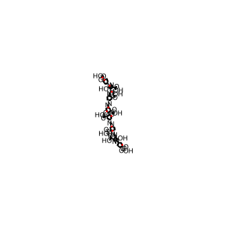 O=C(O)c1nn(-c2ccc(S(=O)(=O)O)cc2)c(O)c1N=Nc1ccc(N=Nc2ccc(-c3ccc(N=Nc4ccc(N=Nc5c(C(=O)O)nn(-c6ccc(S(=O)(=O)O)cc6)c5O)c(S(=O)(=O)O)c4)cc3S(=O)(=O)O)c(S(=O)(=O)O)c2)cc1S(=O)(=O)O